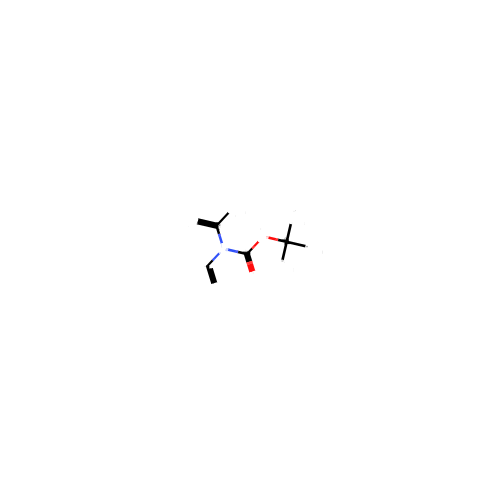 C=CN(C(=C)C)C(=O)OC(C)(C)C